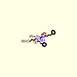 COCCC(=O)[C@H](CC(C)C)NC(=O)[C@H](Cc1ccccc1)NC(=O)[C@H](CC(C)C)NC(=O)CCCc1ccccc1